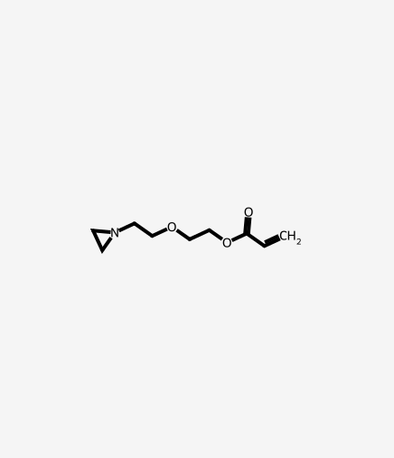 C=CC(=O)OCCOCCN1CC1